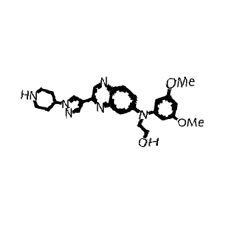 COc1cc(OC)cc(N(CCO)c2ccc3ncc(-c4cnn(C5CCNCC5)c4)nc3c2)c1